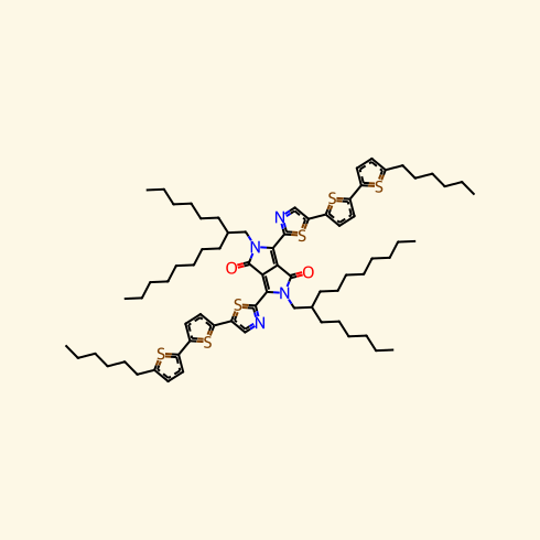 CCCCCCCCC(CCCCCC)CN1C(=O)C2=C(c3ncc(-c4ccc(-c5ccc(CCCCCC)s5)s4)s3)N(CC(CCCCCC)CCCCCCCC)C(=O)C2=C1c1ncc(-c2ccc(-c3ccc(CCCCCC)s3)s2)s1